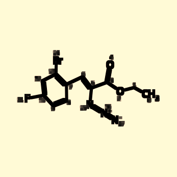 CCOC(=O)C(=Cc1ccc(F)cc1Br)N=[N+]=[N-]